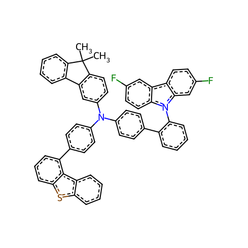 CC1(C)c2ccccc2-c2cc(N(c3ccc(-c4ccccc4-n4c5ccc(F)cc5c5ccc(F)cc54)cc3)c3ccc(-c4cccc5sc6ccccc6c45)cc3)ccc21